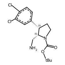 CC(C)(C)OC(=O)N1CC[C@@H](c2ccc(Cl)c(Cl)c2)[C@H]1CN